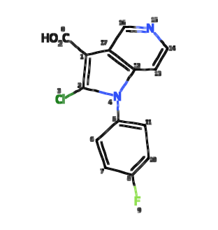 O=C(O)c1c(Cl)n(-c2ccc(F)cc2)c2ccncc12